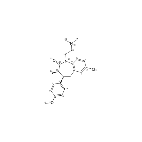 COc1ccc([C@@H]2Cc3cc(Cl)ccc3N(CCN(C)C)C(=O)[C@@H]2C)cc1